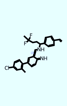 C=Cc1ccc(C(CCC(C)(F)F)N/C=C2/C=C(c3ccc(Cl)cc3C)C=CC2=N)cc1